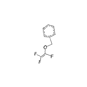 FC(F)=C(F)OCc1ccccc1